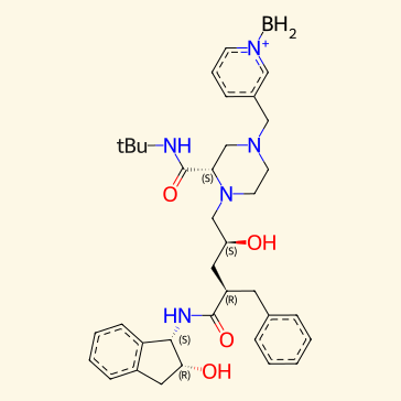 B[n+]1cccc(CN2CCN(C[C@@H](O)C[C@@H](Cc3ccccc3)C(=O)N[C@H]3c4ccccc4C[C@H]3O)[C@H](C(=O)NC(C)(C)C)C2)c1